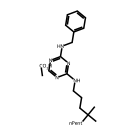 CC(=O)O.CCCCCC(C)(C)CCCNc1ncnc(NCc2ccccc2)n1